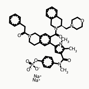 Cc1c(C(=O)N(C)c2ccc(OP(=O)([O-])[O-])cc2)cc(-c2cc3c(cc2C(=O)N2Cc4ccccc4C[C@H]2CN2CCOCC2)CN(C(=O)Cc2ccccc2)CC3)n1C.[Na+].[Na+]